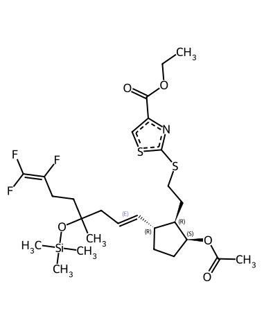 CCOC(=O)c1csc(SCC[C@H]2[C@@H](OC(C)=O)CC[C@@H]2/C=C/CC(C)(CCC(F)=C(F)F)O[Si](C)(C)C)n1